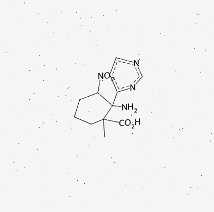 CC1(C(=O)O)CCCC([N+](=O)[O-])C1(N)c1ccncn1